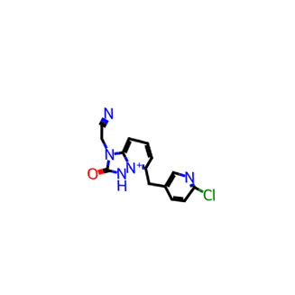 N#CCn1c(=O)[nH][n+]2c(Cc3ccc(Cl)nc3)cccc12